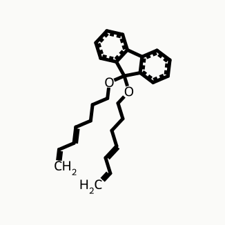 C=C/C=C/CCCOC1(OCCC/C=C/C=C)c2ccccc2-c2ccccc21